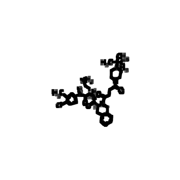 Cc1cc(NC(=O)[C@H](CCN)NC(=O)[C@@H]2Cc3ccccc3CN2C(=O)CCC(=O)N2CCN(C(C)(C)C)CC2)ccc1Cl